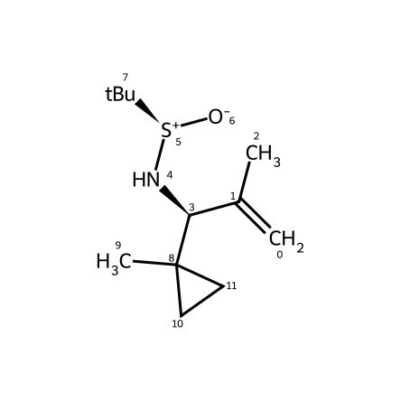 C=C(C)[C@H](N[S@+]([O-])C(C)(C)C)C1(C)CC1